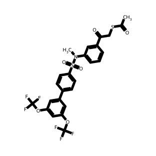 CC(=O)SCC(=O)c1cccc(N(C)S(=O)(=O)c2ccc(-c3cc(OC(F)(F)F)cc(OC(F)(F)F)c3)cc2)c1